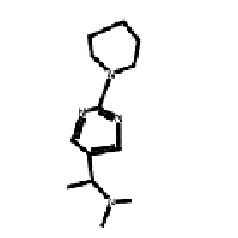 CC(c1cnc(N2CCCCC2)nc1)N(C)C